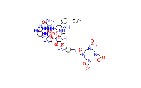 CC(C)CC(CC(C)C)NC(=O)[C@H](Cc1cnc[nH]1)NC(=O)CNC(=O)[C@@H](NC(=O)[C@H](C)NC(=O)[C@H](Cc1c[nH]c2ccccc12)NC(=O)[C@H](CCC(N)=O)NC(=O)[C@@H](Cc1ccccc1)NC(=O)COCC(=O)Nc1ccc(CNC(=O)CN2CCN(CC(=O)[O-])CCN(CC(=O)[O-])CCN(CC(=O)[O-])CC2)cc1)C(C)C.[Ga+3]